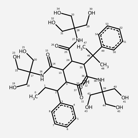 CCC(c1ccccc1)C(C(=O)O)C(C(=O)NC(CO)(CO)CO)C(C(=O)NC(CO)(CO)CO)C(C(=O)NC(CO)(CO)CO)C(C)(C)c1ccccc1